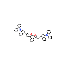 c1ccc2c(-n3c4ccccc4c4ccccc43)ccc(-c3ccc4c(c3)oc3c5oc6cc(-c7ccc(-n8c9ccccc9c9ccccc98)c8ccccc78)ccc6c5c5ccccc5c43)c2c1